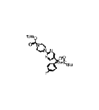 CC(C)(C)OC(=O)N1CCN(c2ncc([C@@](N[S+]([O-])C(C)(C)C)(c3ccc(F)cc3)C(F)(F)F)cn2)CC1